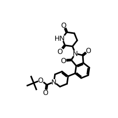 CC(C)(C)OC(=O)N1CC=C(c2cccc3c2C(=O)N(C2CCC(=O)NC2=O)C3=O)CC1